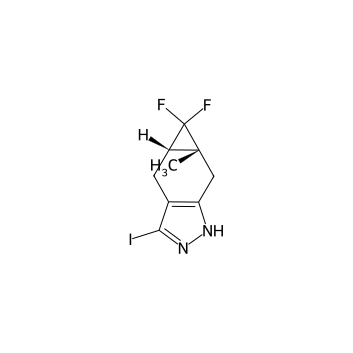 C[C@@]12Cc3[nH]nc(I)c3C[C@@H]1C2(F)F